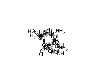 C[C@@H](O)[C@@H]1NC(=O)[C@H](CCCCN)NC(=O)[C@@H](Cc2ccc(NC(=O)[C@@H](N)CCC(O)O)cc2)NC(=O)[C@H](Cc2ccc(O)cc2)NC(=O)[C@H](NC(=O)[C@@H](N)Cc2ccc(Cl)cc2)CSSC[C@@H](C(=O)N[C@H](Cc2ccc(O)cc2)C(N)=O)NC1=O